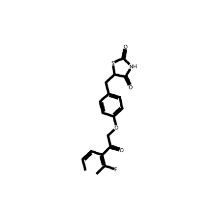 C/C=C\C(C(=O)COc1ccc(CC2SC(=O)NC2=O)cc1)=C(/C)F